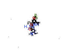 C=C(/C=C\C(=C/C)CN(C)C)[S@@](N)(=O)=NC(=O)Nc1c(C(C)C)cc(OC(F)F)cc1C1CC1